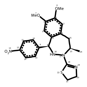 COc1cc2c(cc1OC)[C@H](c1ccc([N+](=O)[O-])cc1)NN(C1=NCCS1)[C@H](C)C2